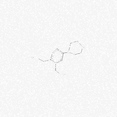 COCc1ccc(N2CCNCC2)cc1COC